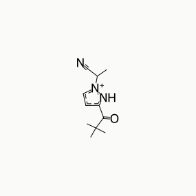 CC(C#N)[n+]1ccc(C(=O)C(C)(C)C)[nH]1